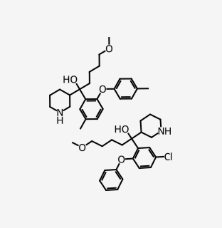 COCCCCC(O)(c1cc(C)ccc1Oc1ccc(C)cc1)C1CCCNC1.COCCCCC(O)(c1cc(Cl)ccc1Oc1ccccc1)C1CCCNC1